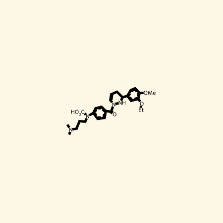 CCOc1cc(C2CC=CN(C(=O)c3ccc(N(CCCN(C)C)C(=O)O)cc3)N2)ccc1OC